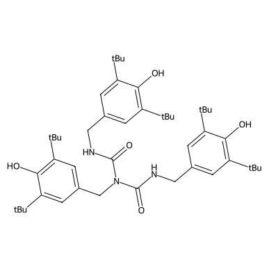 CC(C)(C)c1cc(CNC(=O)N(Cc2cc(C(C)(C)C)c(O)c(C(C)(C)C)c2)C(=O)NCc2cc(C(C)(C)C)c(O)c(C(C)(C)C)c2)cc(C(C)(C)C)c1O